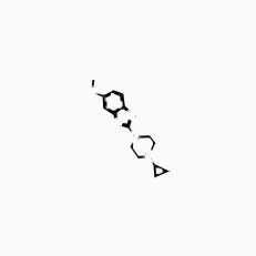 COc1ccc2nc(N3CCN(C4CC4)CC3)sc2c1